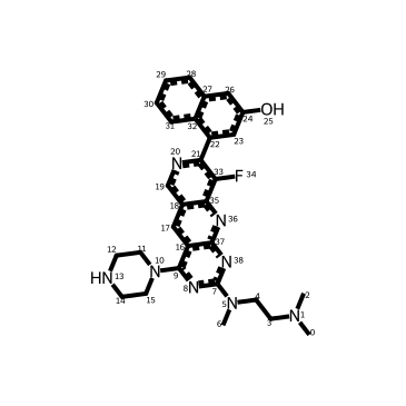 CN(C)CCN(C)c1nc(N2CCNCC2)c2cc3cnc(-c4cc(O)cc5ccccc45)c(F)c3nc2n1